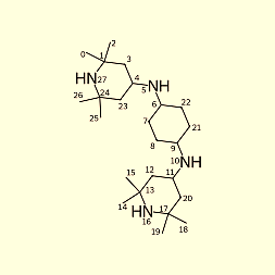 CC1(C)CC(NC2CCC(NC3CC(C)(C)NC(C)(C)C3)CC2)CC(C)(C)N1